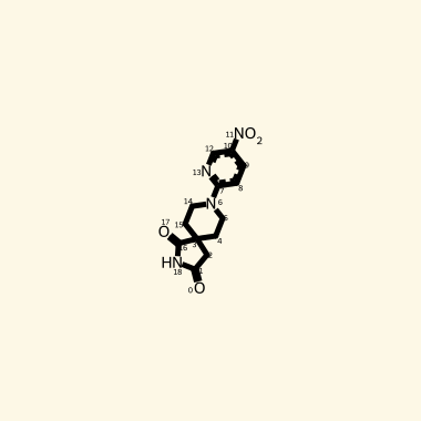 O=C1CC2(CCN(c3ccc([N+](=O)[O-])cn3)CC2)C(=O)N1